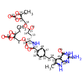 CCc1oc(=O)oc1COC(=O)[C@H](CCC(=O)OCc1oc(=O)oc1C)NC(=O)c1ccc(CCc2c(C)[nH]c3nc(N)[nH]c(=O)c23)cc1